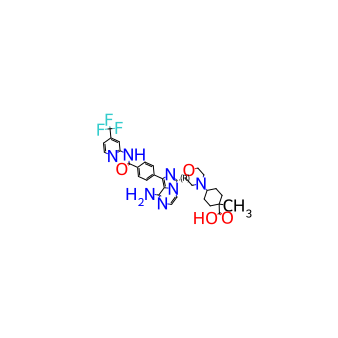 CC1(C(=O)O)CCC(N2CCO[C@@H](c3nc(-c4ccc(C(=O)Nc5cc(C(F)(F)F)ccn5)cc4)c4c(N)nccn34)C2)CC1